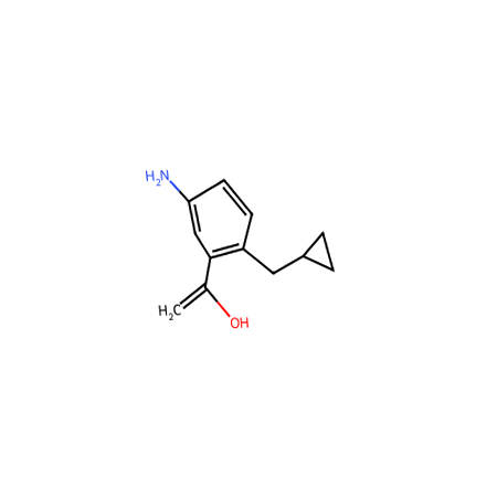 C=C(O)c1cc(N)ccc1CC1CC1